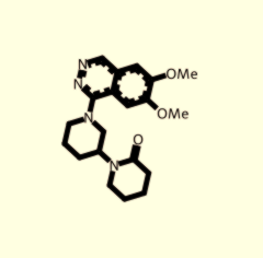 COc1cc2cnnc(N3CCCC(N4CCCCC4=O)C3)c2cc1OC